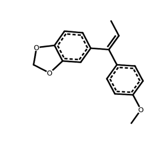 C/C=C(/c1ccc(OC)cc1)c1ccc2c(c1)OCO2